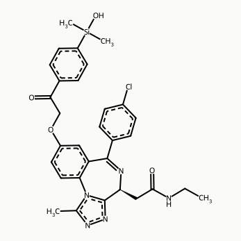 CCNC(=O)C[C@@H]1N=C(c2ccc(Cl)cc2)c2cc(OCC(=O)c3ccc([Si](C)(C)O)cc3)ccc2-n2c(C)nnc21